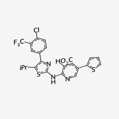 CC(C)c1sc(Nc2ncc(-c3cccs3)cc2C(=O)O)nc1-c1ccc(Cl)c(C(F)(F)F)c1